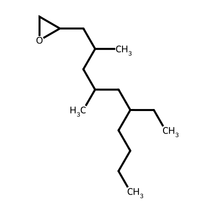 CCCCC(CC)CC(C)CC(C)CC1CO1